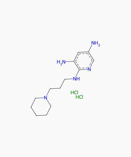 Cl.Cl.Nc1cnc(NCCCN2CCCCC2)c(N)c1